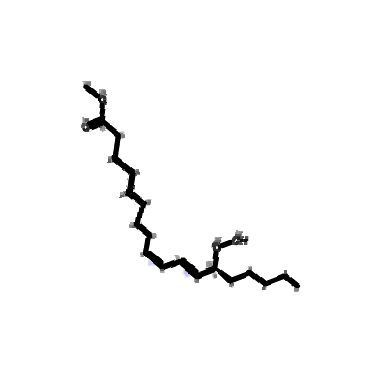 CCCCC[C@@H](/C=C/C=C\CCCCCCCC(=O)OC)OO